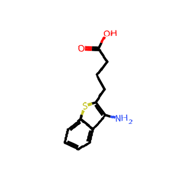 Nc1c(CCCC(=O)O)sc2ccccc12